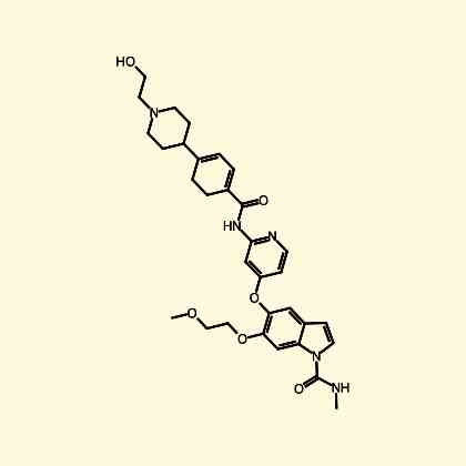 CNC(=O)n1ccc2cc(Oc3ccnc(NC(=O)C4=CC=C(C5CCN(CCO)CC5)CC4)c3)c(OCCOC)cc21